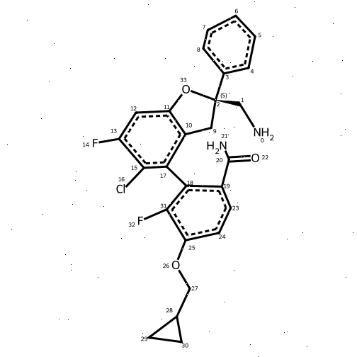 NC[C@@]1(c2ccccc2)Cc2c(cc(F)c(Cl)c2-c2c(C(N)=O)ccc(OCC3CC3)c2F)O1